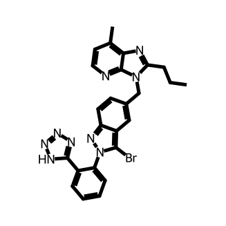 CCCc1nc2c(C)ccnc2n1Cc1ccc2nn(-c3ccccc3-c3nnn[nH]3)c(Br)c2c1